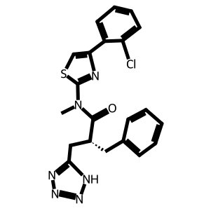 CN(C(=O)[C@H](Cc1ccccc1)Cc1nnn[nH]1)c1nc(-c2ccccc2Cl)cs1